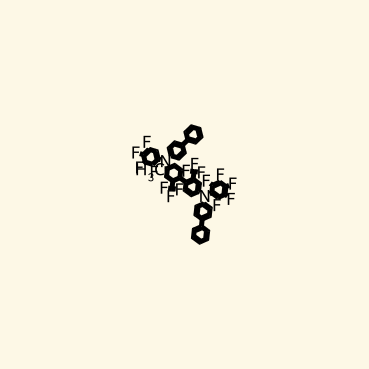 CC1(N(C2=CC(F)=C(F)C(F)C2F)c2ccc(-c3ccccc3)cc2)CCC(c2ccc(N(c3ccc(-c4ccccc4)cc3)c3c(F)c(F)c(F)c(F)c3F)cc2C(F)(F)F)C(C(F)(F)F)C1